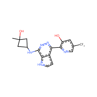 CC1(O)CC(Nc2nnc(-c3ncc(C(F)(F)F)cc3O)c3cc[nH]c23)C1